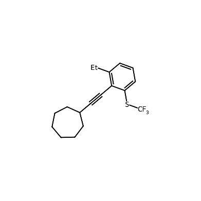 CCc1cccc(SC(F)(F)F)c1C#CC1CCCCCC1